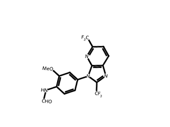 COc1cc(-n2c(C(F)(F)F)nc3ccc(C(F)(F)F)nc32)ccc1NC=O